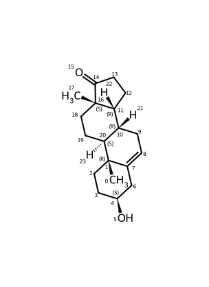 C[C@]12CC[C@H](O)CC1=CC[C@H]1[C@H]3CCC(=O)[C@@]3(C)CC[C@@H]12